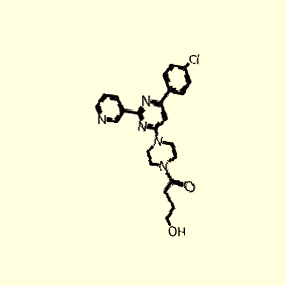 O=C(CCCO)N1CCN(c2cc(-c3ccc(Cl)cc3)nc(-c3cccnc3)n2)CC1